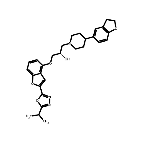 CC(C)c1nnc(-c2cc3c(OC[C@@H](O)CN4CCC(c5ccc6c(c5)CCO6)CC4)cccc3o2)o1